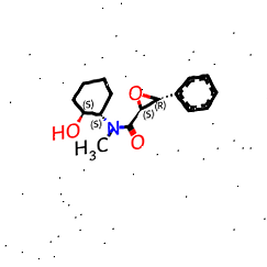 CN(C(=O)[C@H]1O[C@@H]1c1ccccc1)[C@H]1CCCC[C@@H]1O